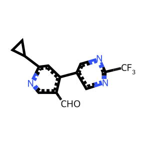 O=Cc1cnc(C2CC2)cc1-c1cnc(C(F)(F)F)nc1